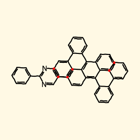 c1ccc(-c2ncc(-c3ccc4c(-c5ccccc5-c5ccccc5)c5ccccc5c(-c5ccccc5-c5ccccc5)c4c3)cn2)cc1